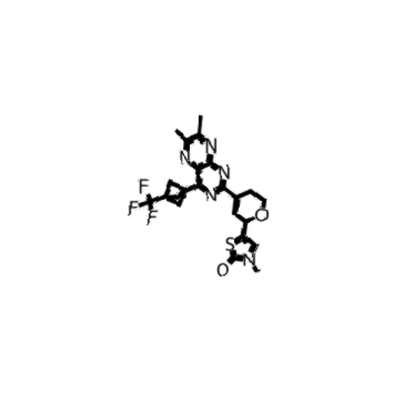 Cc1nc2nc(C3=CC(c4cn(C)c(=O)s4)OCC3)nc(C34CC(C(F)(F)F)(C3)C4)c2nc1C